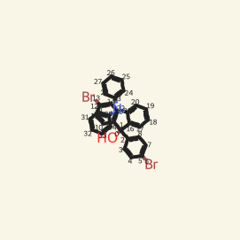 OC(c1ccc(Br)cc1)(c1ccc(Br)cc1)c1ccccc1N(c1ccccc1)c1ccccc1